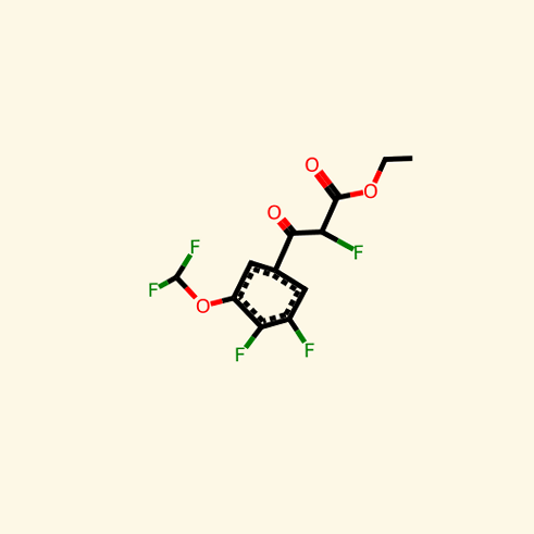 CCOC(=O)C(F)C(=O)c1cc(F)c(F)c(OC(F)F)c1